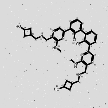 CNc1nc(-c2cccc(-c3cccc(-c4cnc(CNCC5CC(O)C5)c(NC)n4)c3Cl)c2Cl)cnc1CNCC1CC(O)C1